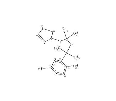 CC(C)(CC(O)(CC1C=CSC1)C(F)(F)F)c1cc(F)ccc1O